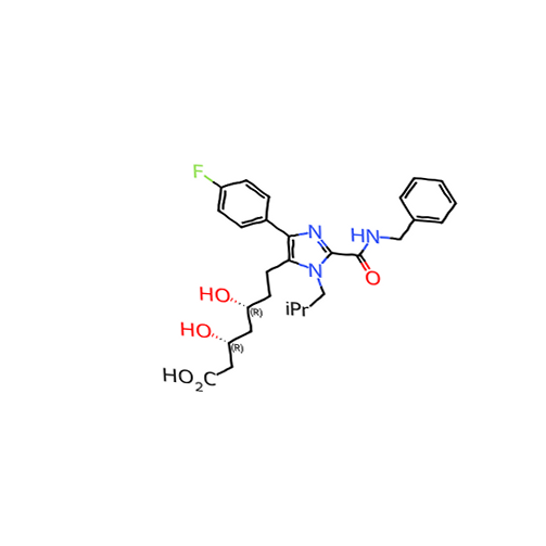 CC(C)Cn1c(C(=O)NCc2ccccc2)nc(-c2ccc(F)cc2)c1CC[C@@H](O)C[C@@H](O)CC(=O)O